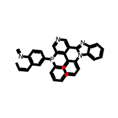 C=Nc1ccc(P(c2ccccc2)c2cncc3c2c2ccccc2n2c4ccccc4nc32)cc1/C=C\C